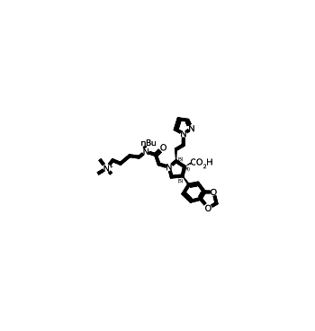 CCCCN(CCCC[N+](C)(C)C)C(=O)CN1C[C@H](c2ccc3c(c2)OCO3)[C@@H](C(=O)O)[C@@H]1CCn1cccn1